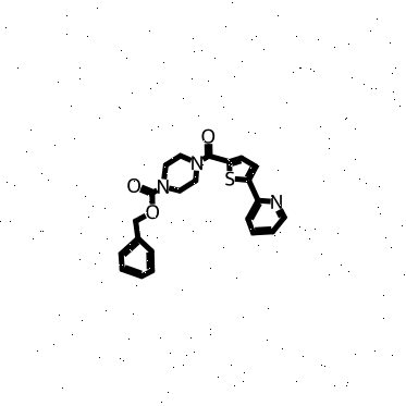 O=C(OCc1ccccc1)N1CCN(C(=O)c2ccc(-c3ccccn3)s2)CC1